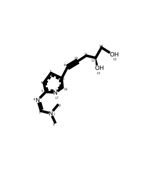 CN(C)/C=N\c1ccc(C#CC[C@H](O)CO)cn1